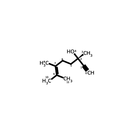 C#C[C@@](C)(O)CCC(C)=C(C)C